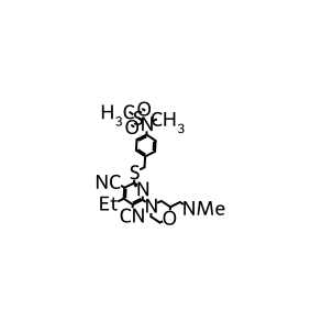 CCc1c(C#N)c(SCc2ccc(N(C)S(C)(=O)=O)cc2)nc(N2CCOC(CNC)C2)c1C#N